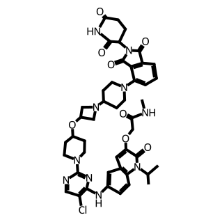 CNC(=O)COc1cc2cc(Nc3nc(N4CCC(OC5CN(C6CCN(c7cccc8c7C(=O)N(C7CCC(=O)NC7=O)C8=O)CC6)C5)CC4)ncc3Cl)ccc2n(C(C)C)c1=O